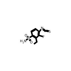 CCc1c(S(N)(=O)=O)ccc(N=C=S)c1F